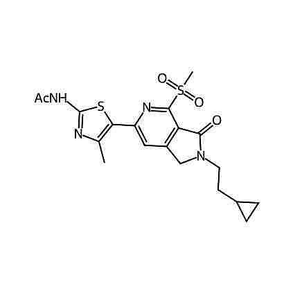 CC(=O)Nc1nc(C)c(-c2cc3c(c(S(C)(=O)=O)n2)C(=O)N(CCC2CC2)C3)s1